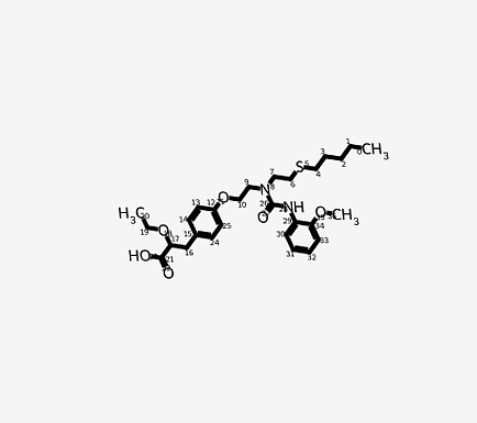 CCCCCSCCN(CCOc1ccc(CC(OCC)C(=O)O)cc1)C(=O)Nc1ccccc1OC